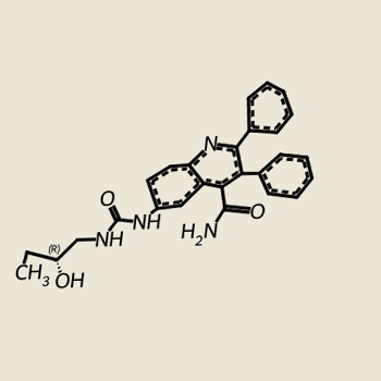 CC[C@@H](O)CNC(=O)Nc1ccc2nc(-c3ccccc3)c(-c3ccccc3)c(C(N)=O)c2c1